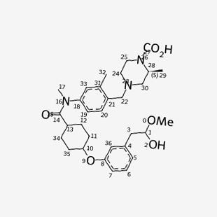 COC(O)Cc1cccc(OC2CCC(C(=O)N(C)c3ccc(CN4CCN(C(=O)O)[C@@H](C)C4)c(C)c3)CC2)c1